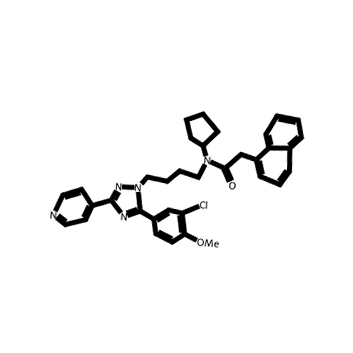 COc1ccc(-c2nc(-c3ccncc3)nn2CCCCN(C(=O)Cc2cccc3ccccc23)C2CCCC2)cc1Cl